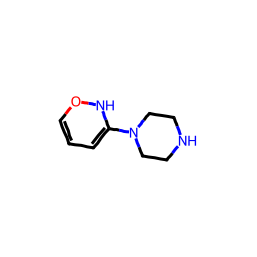 C1=CONC(N2CCNCC2)=C1